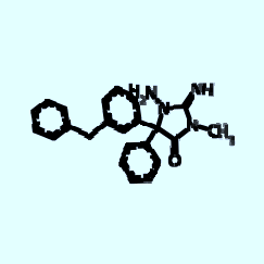 CN1C(=N)N(N)C(c2ccccc2)(c2cccc(Cc3ccccc3)c2)C1=O